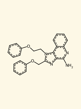 Nc1nc2ccccc2c2c1nc(COc1ccccc1)n2CCOc1ccccc1